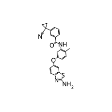 Cc1ccc(Oc2ccc3nc(N)sc3c2)cc1NC(=O)c1cccc(C2(C#N)CC2)c1